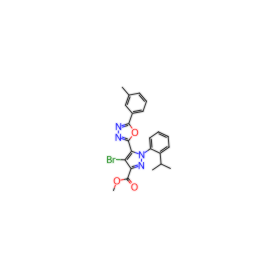 COC(=O)c1nn(-c2ccccc2C(C)C)c(-c2nnc(-c3cccc(C)c3)o2)c1Br